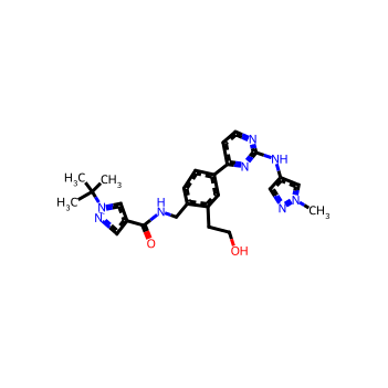 Cn1cc(Nc2nccc(-c3ccc(CNC(=O)c4cnn(C(C)(C)C)c4)c(CCO)c3)n2)cn1